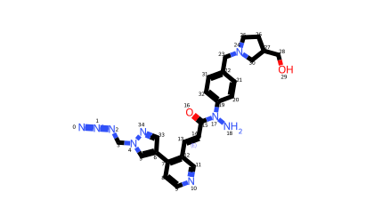 [N-]=[N+]=NCn1cc(-c2ccncc2/C=C/C(=O)N(N)c2ccc(CN3CCC(CO)C3)cc2)cn1